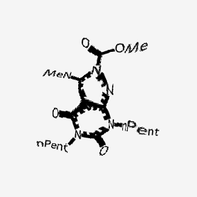 CCCCCn1c(=O)c2c(NC)n(C(=O)OC)nc2n(CCCCC)c1=O